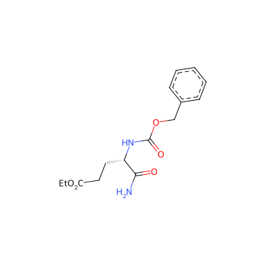 CCOC(=O)CC[C@H](NC(=O)OCc1ccccc1)C(N)=O